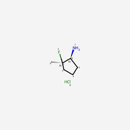 C[C@@]1(F)CCC[C@@H]1N.Cl